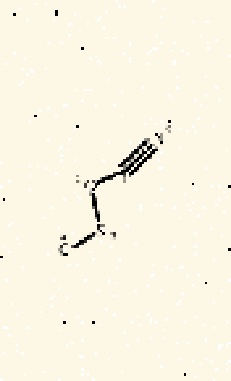 N#COSCl